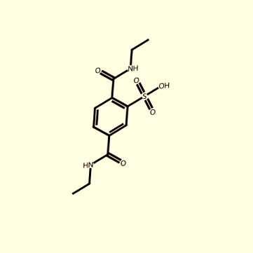 CCNC(=O)c1ccc(C(=O)NCC)c(S(=O)(=O)O)c1